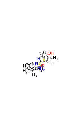 CC(C)C(C)(O)c1cnc(S(N)(=O)=N[Si](C)(C)C(C)(C)C)s1